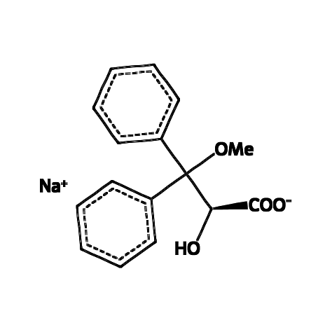 COC(c1ccccc1)(c1ccccc1)[C@H](O)C(=O)[O-].[Na+]